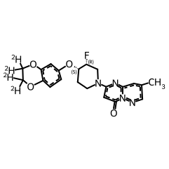 [2H]C1([2H])Oc2ccc(O[C@H]3CCN(c4cc(=O)n5ncc(C)cc5n4)C[C@H]3F)cc2OC1([2H])[2H]